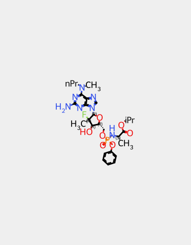 CCCN(C)c1nc(N)nc2c1ncn2[C@@H]1O[C@H](COP(=O)(N[C@@H](C)C(=O)OC(C)C)Oc2ccccc2)[C@@H](O)[C@@]1(C)F